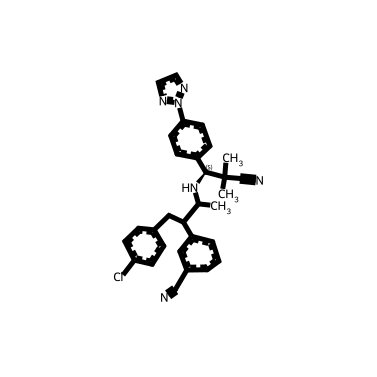 CC(N[C@@H](c1ccc(-n2nccn2)cc1)C(C)(C)C#N)C(Cc1ccc(Cl)cc1)c1cccc(C#N)c1